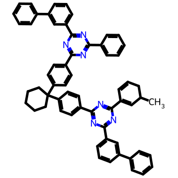 CC1C=C(c2nc(-c3ccc(C4(c5ccc(-c6nc(-c7ccccc7)nc(-c7cccc(-c8ccccc8)c7)n6)cc5)CCCCC4)cc3)nc(-c3cccc(-c4ccccc4)c3)n2)C=CC1